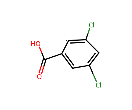 O=C(O)c1[c]c(Cl)cc(Cl)c1